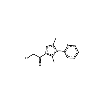 Cc1cc(C(=O)CCl)c(C)n1-c1ccccn1